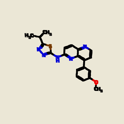 COc1cccc(-c2ccnc3ccc(Nc4nnc(C(C)C)s4)nc23)c1